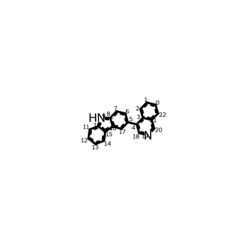 c1ccc2c(-c3ccc4[nH]c5ccccc5c4c3)cncc2c1